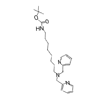 CC(C)(C)OC(=O)NCCCCCCCCN(Cc1ccccn1)Cc1ccccn1